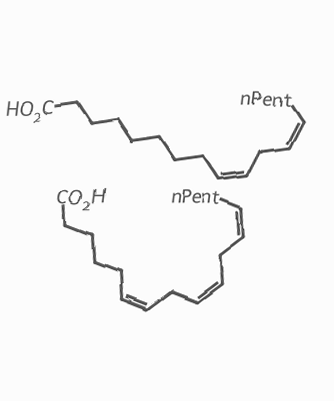 CCCCC/C=C\C/C=C\C/C=C\CCCCC(=O)O.CCCCC/C=C\C/C=C\CCCCCCCC(=O)O